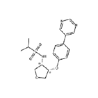 CC(C)S(=O)(=O)N[C@H]1COC[C@H]1Oc1ccc(-c2cncnc2)cc1